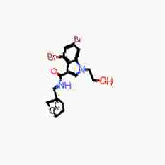 O=C(NCC12CCC(CC1)CC2)c1cn(CCO)c2cc(Br)cc(Br)c12